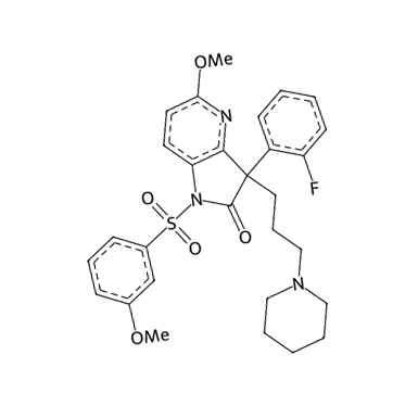 COc1cccc(S(=O)(=O)N2C(=O)C(CCCN3CCCCC3)(c3ccccc3F)c3nc(OC)ccc32)c1